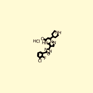 Cl.O=c1cc(C2CCNCC2)n2ncc(-c3noc(-c4cccc(Cl)c4F)n3)c2[nH]1